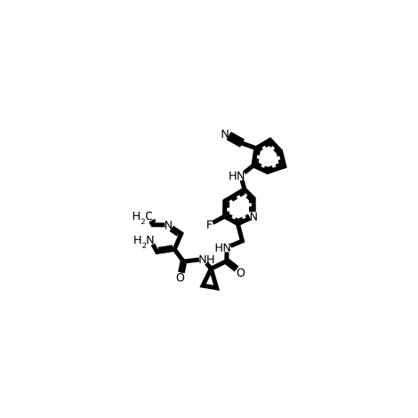 C=C/N=C\C(=C/N)C(=O)NC1(C(=O)NCc2ncc(Nc3ccccc3C#N)cc2F)CC1